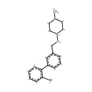 CC(C)c1cccnc1-c1cccc(CON2CCN(C)CC2)c1